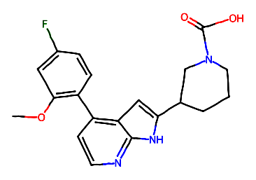 COc1cc(F)ccc1-c1ccnc2[nH]c(C3CCCN(C(=O)O)C3)cc12